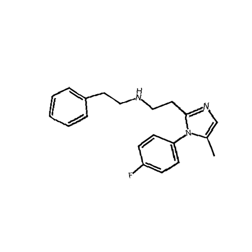 Cc1cnc(CCNCCc2ccccc2)n1-c1ccc(F)cc1